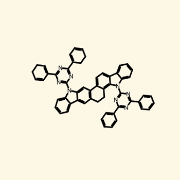 C1=CCCC(c2nc(C3=CCCC=C3)nc(-n3c4ccccc4c4cc5c(cc43)-c3ccc4c6ccccc6n(-c6nc(-c7ccccc7)nc(-c7ccccc7)n6)c4c3CC5)n2)=C1